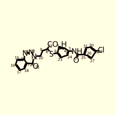 O=C(Nc1ccc(SC(CCn2nnc3ccccc3c2=O)C(=O)O)cc1)c1ccc(Cl)cc1